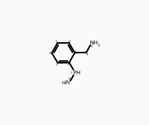 CCCPc1ccccc1CN